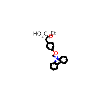 CCO[C@@H](Cc1ccc(OCn2c3ccccc3c3ccccc32)cc1)C(=O)O